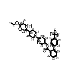 CCOC(=O)[C@H](C)NC(=O)C1CCN(c2ncc(NC(=O)c3ccccc3-c3ccc(C(F)(F)F)cc3)cn2)CC1